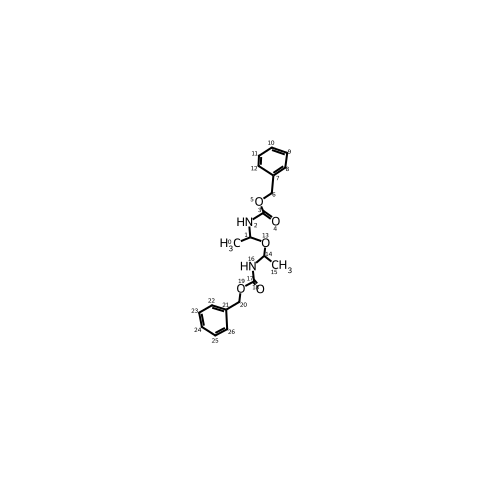 CC(NC(=O)OCc1ccccc1)OC(C)NC(=O)OCc1ccccc1